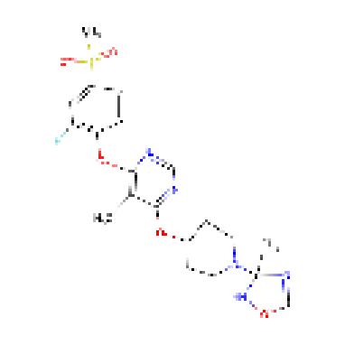 Cc1c(Oc2ccc(S(C)(=O)=O)cc2F)ncnc1OC1CCN(C2(C)N=CON2)CC1